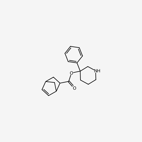 O=C(OC1(c2ccccc2)CCCNC1)C1CC2C=CC1C2